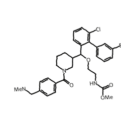 CCc1cccc(-c2c(Cl)cccc2C(OCCNC(=O)OC)C2CCCN(C(=O)c3ccc(CNC)cc3)C2)c1